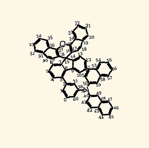 c1cc(-c2cccc3c2-c2ccccc2C32c3ccc4ccccc4c3Oc3c2ccc2ccccc32)cc(N(c2ccc3ccccc3c2)c2ccc3ccccc3c2)c1